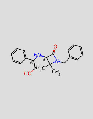 CC1(C)[C@@H](N[C@@H](CO)c2ccccc2)C(=O)N1Cc1ccccc1